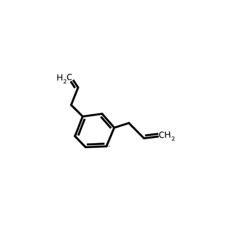 C=CCc1[c]ccc(CC=C)c1